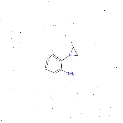 Nc1ccccc1N1CC1